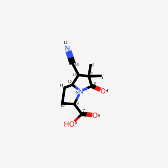 CC1(C)C(=O)N2C(C(=O)O)CCC2C1C#N